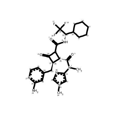 CN(C(=O)[C@H]1C(C(=O)N[C@@H](C2CCCCC2)C(F)(F)F)C(=O)[C@@H]1Cc1ccnc(N)c1)c1cn(C)cn1